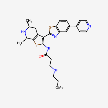 COCCNCCC(=O)Nc1sc2c(c1-c1nc3cc(-c4ccncc4)ccc3s1)C[C@H](C)N[C@@H]2C